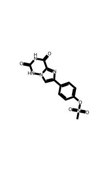 CS(=O)(=O)Oc1ccc(-c2cn3[nH]c(=O)[nH]c(=O)c3n2)cc1